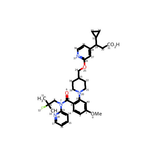 COc1ccc(C(=O)N(CC(C)(C)F)c2ccccn2)c(N2CCC(COc3cc(C(CC(=O)O)C4CC4)ccn3)CC2)c1